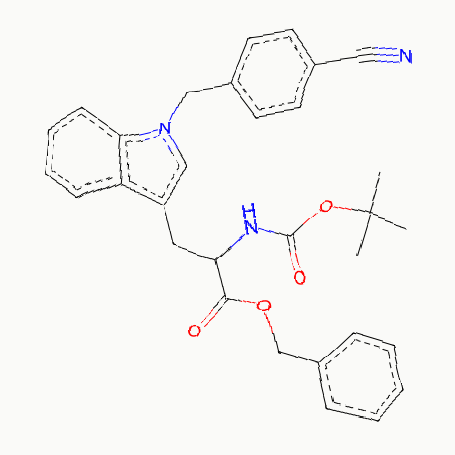 CC(C)(C)OC(=O)NC(Cc1cn(Cc2ccc(C#N)cc2)c2ccccc12)C(=O)OCc1ccccc1